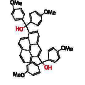 COc1ccc(C(O)(c2ccc(OC)cc2)c2cc3ccc(C(O)(c4ccc(OC)cc4)c4ccc(OC)cc4)c4ccc5cccc2c5c34)cc1